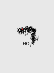 Cc1cccc(OCCCC(=O)N2CCSc3c(-c4cnn(Cc5cccc(NC(=O)NCCS(=O)(=O)O)c5)c4)cccc32)c1C